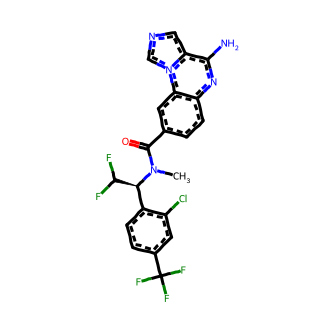 CN(C(=O)c1ccc2nc(N)c3cncn3c2c1)[C@@H](c1ccc(C(F)(F)F)cc1Cl)C(F)F